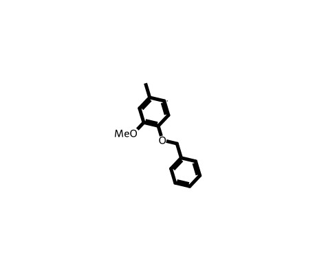 COc1cc(C)[c]cc1OCc1ccccc1